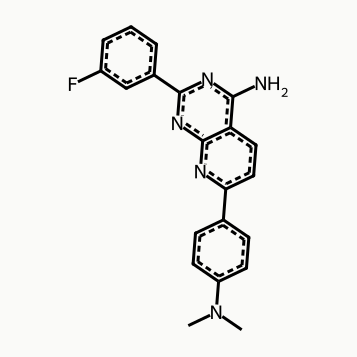 CN(C)c1ccc(-c2ccc3c(N)nc(-c4cccc(F)c4)nc3n2)cc1